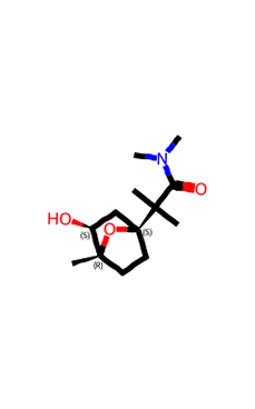 CN(C)C(=O)C(C)(C)[C@@]12CC[C@@](C)(O1)[C@@H](O)C2